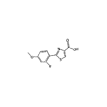 COc1ccc(-c2nc(C(=O)O)cs2)c(F)c1